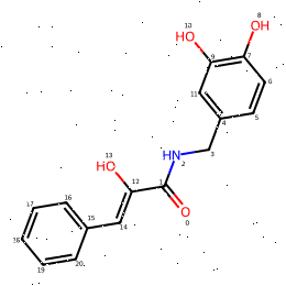 O=C(NCc1ccc(O)c(O)c1)C(O)=Cc1ccccc1